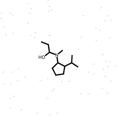 CCC(O)N(C)C1CCCC1C(C)C